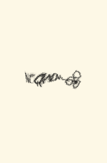 N#Cc1ccc(N2CCN(CCC3CC4(CCCCC4)C(=O)O3)CC2)nc1